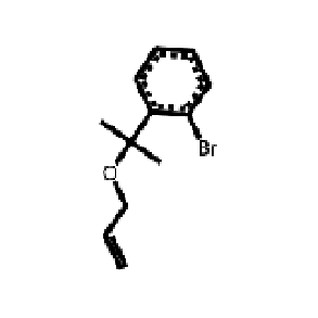 C=CCOC(C)(C)c1ccccc1Br